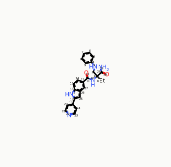 CCC(CNc1ccccc1)(NC(=O)c1ccc2[nH]c(-c3ccncc3)cc2c1)C(N)=O